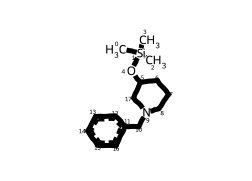 C[Si](C)(C)OC1CCCN(Cc2ccccc2)C1